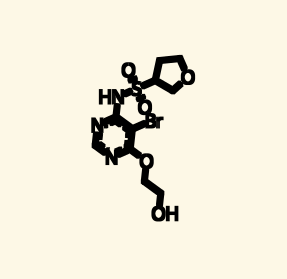 O=S(=O)(Nc1ncnc(OCCO)c1Br)C1CCOC1